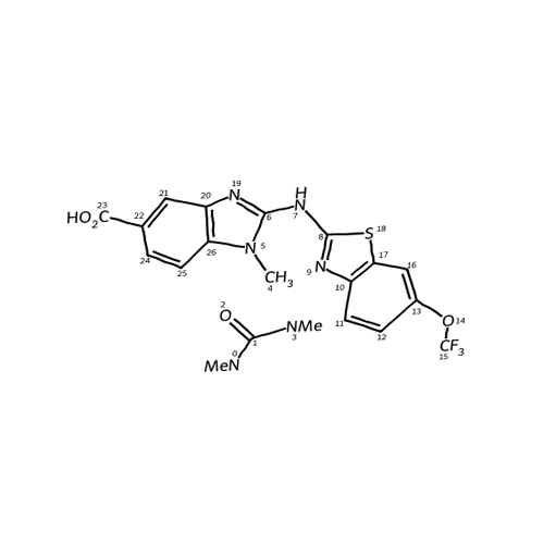 CNC(=O)NC.Cn1c(Nc2nc3ccc(OC(F)(F)F)cc3s2)nc2cc(C(=O)O)ccc21